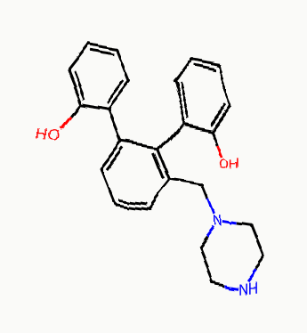 Oc1ccccc1-c1cccc(CN2CCNCC2)c1-c1ccccc1O